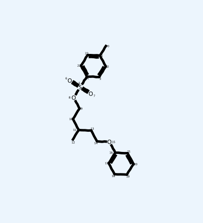 Cc1ccc(S(=O)(=O)OCCC(C)CCOC2=CCCC=C2)cc1